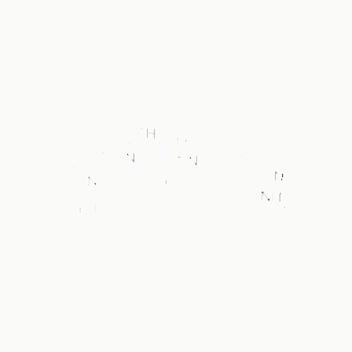 C=C(Cc1ccc2ccc(C)nc2c1)/N=C\C=C(/C)C(=O)NCc1ccc2c(N)nccc2c1